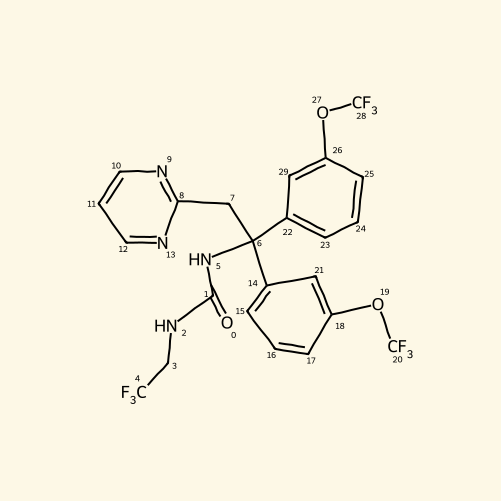 O=C(NCC(F)(F)F)NC(Cc1ncccn1)(c1cccc(OC(F)(F)F)c1)c1cccc(OC(F)(F)F)c1